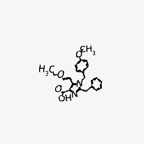 CCOC=Cc1c(C(=O)O)nc(Cc2ccccc2)n1Cc1ccc(OC)cc1